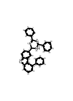 c1ccc(C2=NC(c3ccc4oc5cccc(-c6ccccc6)c5c4c3)NC(c3ccccc3)=N2)cc1